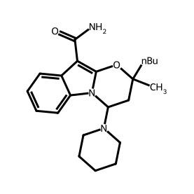 CCCCC1(C)CC(N2CCCCC2)n2c(c(C(N)=O)c3ccccc32)O1